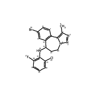 Cc1nnn2c1-c1ccc(Br)cc1C(Nc1c(F)cccc1Cl)CC2